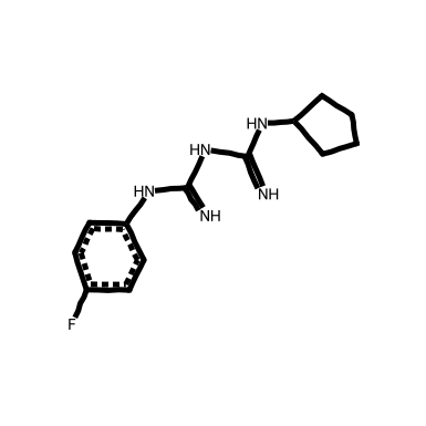 N=C(NC(=N)NC1CCCC1)Nc1ccc(F)cc1